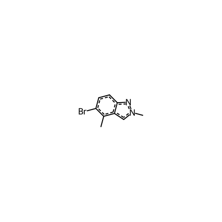 Cc1c(Br)ccc2nn(C)cc12